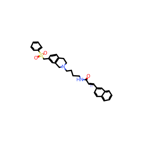 O=C(/C=C/c1ccc2ccccc2c1)NCCCCN1CCc2ccc(CS(=O)(=O)c3ccccc3)cc2C1